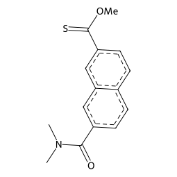 COC(=S)c1ccc2ccc(C(=O)N(C)C)cc2c1